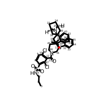 CCCNS(=O)(=O)c1ccc(Cl)c(C(=O)N2CCC(CCN3[C@@H]4CC[C@H]3C[C@@H](n3c(C)nc5ccccc53)C4)(c3ccccc3)CC2)c1Cl